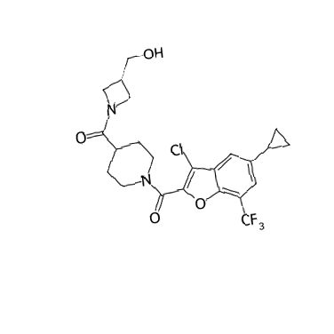 O=C(c1oc2c(C(F)(F)F)cc(C3CC3)cc2c1Cl)N1CCC(C(=O)N2CC(CO)C2)CC1